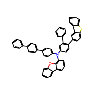 c1ccc(-c2ccc(-c3ccc(N(c4ccc(-c5ccc6sc7ccccc7c6c5)c(-c5ccccc5)c4)c4cccc5c4oc4ccccc45)cc3)cc2)cc1